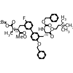 COC(=O)[C@H](Cc1cc(-c2ccc(OCc3ccccc3)c(C[C@H](NC(=O)OCc3ccccc3)C(=O)OCC[Si](C)(C)C)c2)ccc1F)N(C)C(=O)OC(C)(C)C